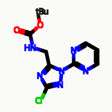 CC(C)(C)OC(=O)NCc1nc(Cl)nn1-c1ncccn1